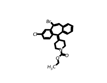 CCOC(=O)N1CCC(=C2c3ccccc3C=C(Br)c3cc(Cl)ccc32)CC1